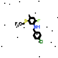 Cc1cc(F)c(NCc2ccc(Cl)cc2)cc1SCC(F)(F)F